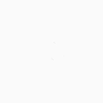 CN(C)C(=O)c1cocn1.Cl